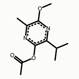 COc1nc(C(C)C)c(OC(C)=O)nc1C